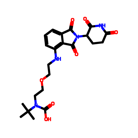 CC(C)(C)N(CCOCCNc1cccc2c1C(=O)N(C1CCC(=O)NC1=O)C2=O)C(=O)O